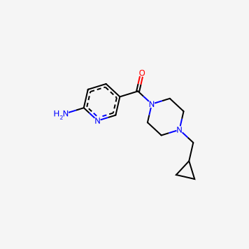 Nc1ccc(C(=O)N2CCN(CC3CC3)CC2)cn1